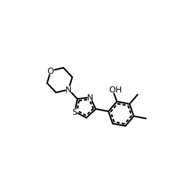 Cc1ccc(-c2csc(N3CCOCC3)n2)c(O)c1C